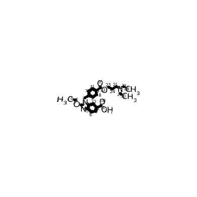 CCOc1nc2ccc(C(=O)O)cc2n1Cc1ccc(C(=O)OCCCN(CC)CC)cc1